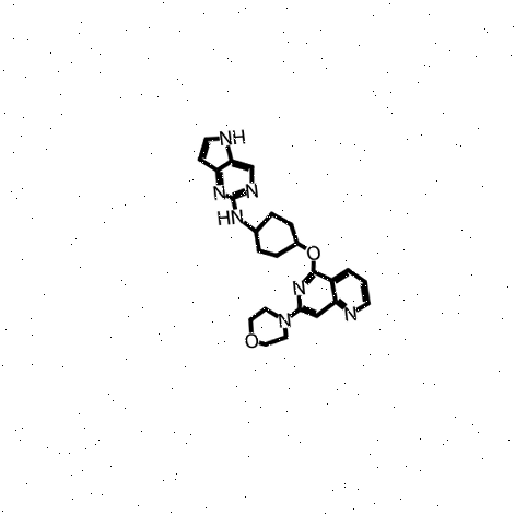 c1cnc2cc(N3CCOCC3)nc(OC3CCC(Nc4ncc5[nH]ccc5n4)CC3)c2c1